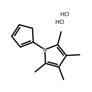 Cc1c(C)c(C)n(C2=CC=CC2)c1C.Cl.Cl